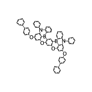 c1ccc(-c2ccc(Oc3cc4c5c(c3)N(c3ccccc3)c3ccccc3B5c3cc5c(cc3O4)Oc3cc(Oc4ccc(-c6ccccc6)cc4)cc4c3B5c3ccccc3N4c3ccccc3)cc2)cc1